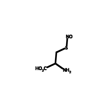 NC(CSN=O)C(=O)O